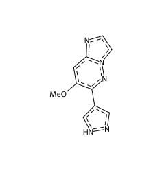 COc1cc2nccn2nc1-c1cn[nH]c1